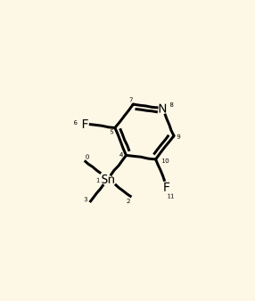 [CH3][Sn]([CH3])([CH3])[c]1c(F)cncc1F